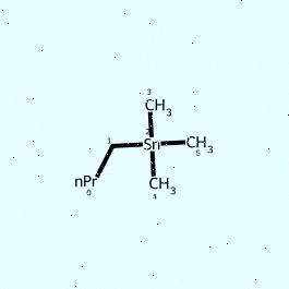 CCC[CH2][Sn]([CH3])([CH3])[CH3]